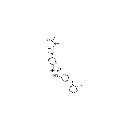 COc1ccccc1Oc1ccc(NC(=O)Nc2ccc(N3CCC(N(C)C(C)=O)C3)cc2)cc1